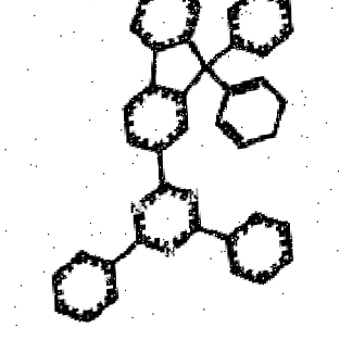 C1=CC(C2(c3ccccc3)c3ccccc3-c3ccc(-c4nc(-c5ccccc5)nc(-c5ccccc5)n4)cc32)=CCC1